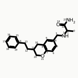 CC(NCc1ccc2c(c1)CC(CCc1ccccc1)CO2)C(N)=O